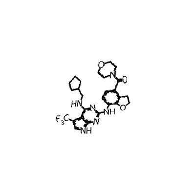 O=C(c1ccc(Nc2nc(NCC3CCCC3)c3c(C(F)(F)F)c[nH]c3n2)c2c1CCO2)N1CCOCC1